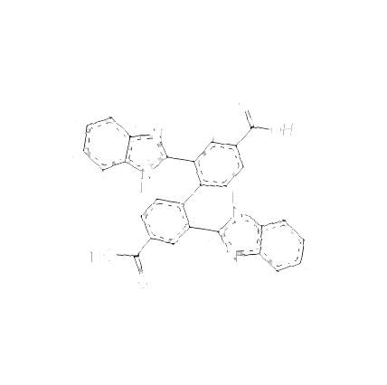 O=C(O)c1ccc(-c2ccc(C(=O)O)cc2-c2nc3ccccc3[nH]2)c(-c2nc3ccccc3[nH]2)c1